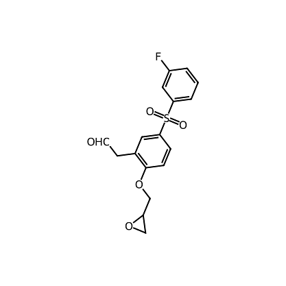 O=CCc1cc(S(=O)(=O)c2cccc(F)c2)ccc1OCC1CO1